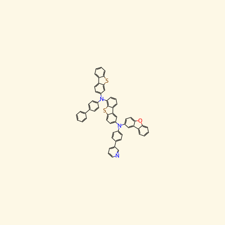 c1ccc(-c2ccc(N(c3ccc4c(c3)sc3ccccc34)c3cccc4c3sc3ccc(N(c5ccc(-c6cccnc6)cc5)c5ccc6oc7ccccc7c6c5)cc34)cc2)cc1